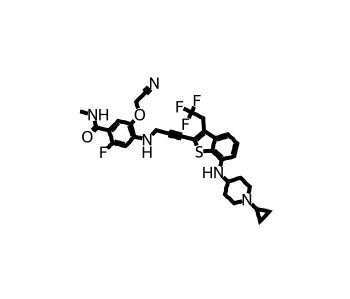 CNC(=O)c1cc(OCC#N)c(NCC#Cc2sc3c(NC4CCN(C5CC5)CC4)cccc3c2CC(F)(F)F)cc1F